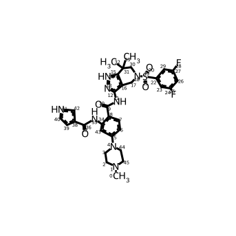 CN1CCN(c2ccc(C(=O)Nc3n[nH]c4c3CN(S(=O)(=O)c3cc(F)cc(F)c3)CC4(C)C)c(NC(=O)c3cc[nH]c3)c2)CC1